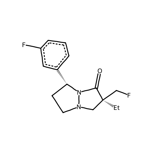 CC[C@]1(CF)CN2CC[C@H](c3cccc(F)c3)N2C1=O